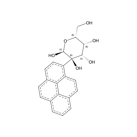 OC[C@H]1O[C@H](O)[C@@](O)(c2ccc3ccc4cccc5ccc2c3c45)[C@@H](O)[C@H]1O